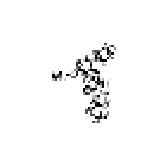 COc1ncc(N2CCOCC2)c2sc(NC(=O)N3CC[C@]4(CCCOC4)C3)nc12